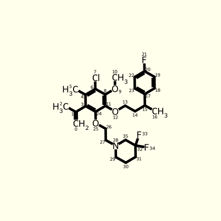 C=C(C)c1c(C)c(Cl)c(OC)c(OCCC(C)c2ccc(F)cc2)c1OCCN1CCCC(F)(F)C1